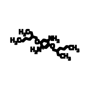 CCCCC(CC)COC1=C[C@H](N)C(OCC(CC)CCCC)C=C1N